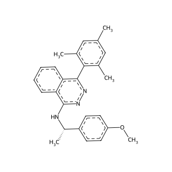 COc1ccc([C@H](C)Nc2nnc(-c3c(C)cc(C)cc3C)c3ccccc23)cc1